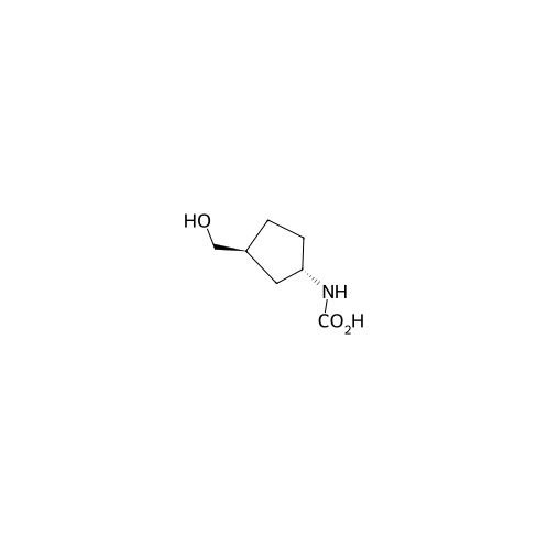 O=C(O)N[C@H]1CC[C@H](CO)C1